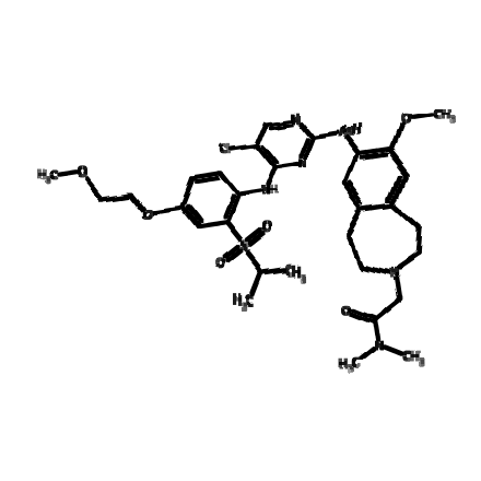 COCCOc1ccc(Nc2nc([AsH]c3cc4c(cc3OC)CCN(CC(=O)N(C)C)CC4)ncc2Cl)c(S(=O)(=O)C(C)C)c1